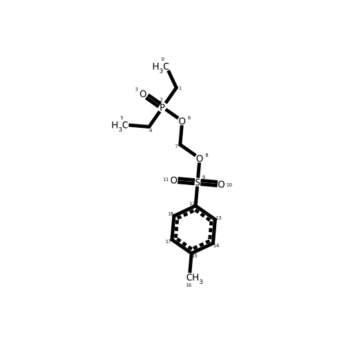 CCP(=O)(CC)OCOS(=O)(=O)c1ccc(C)cc1